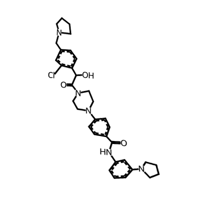 O=C(Nc1cccc(N2CCCC2)c1)c1ccc(N2CCN(C(=O)C(O)c3ccc(CN4CCCC4)cc3Cl)CC2)cc1